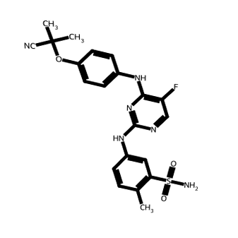 Cc1ccc(Nc2ncc(F)c(Nc3ccc(OC(C)(C)C#N)cc3)n2)cc1S(N)(=O)=O